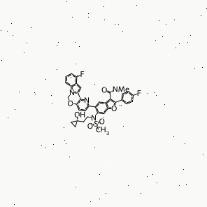 CNC(=O)c1c(-c2ccc(F)cc2)oc2cc(N(CCC3(O)CC3)S(C)(=O)=O)c(-c3ccc4c(n3)-c3cc5c(F)cccc5n3CO4)cc12